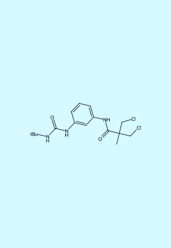 CC(C)(C)NC(=O)Nc1cccc(NC(=O)C(C)(CCl)CCl)c1